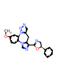 COc1ccc2c(c1)-n1nncc1Cc1c(C3=NC[C@@H](c4ccccc4)O3)ncn1-2